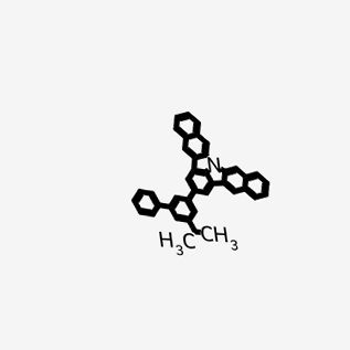 CC(C)c1cc(-c2ccccc2)cc(-c2cc3c4cc5ccccc5cc4n4c5cc6ccccc6cc5c(c2)c34)c1